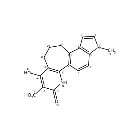 Cn1ccc2c3c(ccc21)-c1[nH]c(=O)c(C(=O)O)c(O)c1CCC3